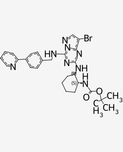 CC(C)(C)OC(=O)N[C@H]1CCCC[C@H]1Nc1nc(NCc2ccc(-c3ccccn3)cc2)n2ncc(Br)c2n1